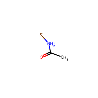 CC(=O)[NH2+][S-]